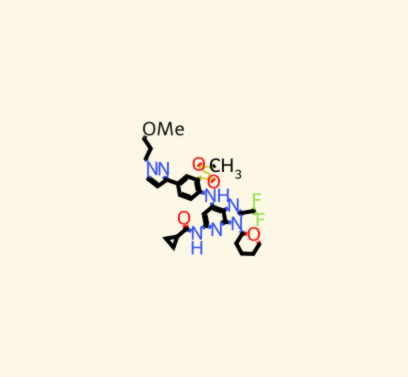 COCCCn1ccc(-c2ccc(Nc3cc(NC(=O)C4CC4)nc4c3nc(C(F)F)n4C3CCCCO3)c(S(C)(=O)=O)c2)n1